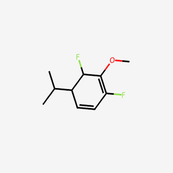 COC1=C(F)C=CC(C(C)C)C1F